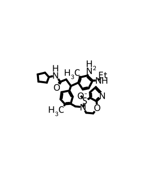 CCNc1ccc(C(CC(=O)NC2CCCC2)c2ccc(C)c(CN3CCOc4ncccc4[S+]3[O-])c2)c(C)c1N